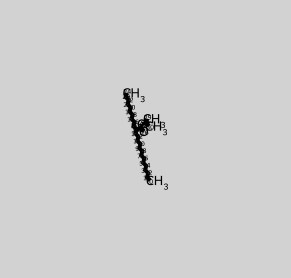 CCCCCCCCCCCCCCC(CCCCCCCCCC)C(=O)OC(C)C